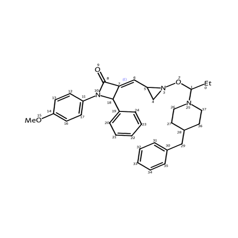 CCC(ON1CC1/C=C1/C(=O)N(c2ccc(OC)cc2)C1c1ccccc1)N1CCC(Cc2ccccc2)CC1